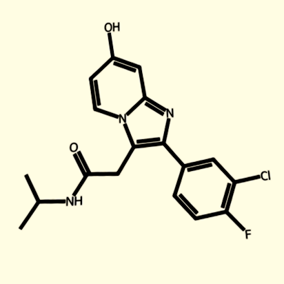 CC(C)NC(=O)Cc1c(-c2ccc(F)c(Cl)c2)nc2cc(O)ccn12